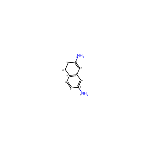 NC1=Cc2cc(N)ccc2CC1